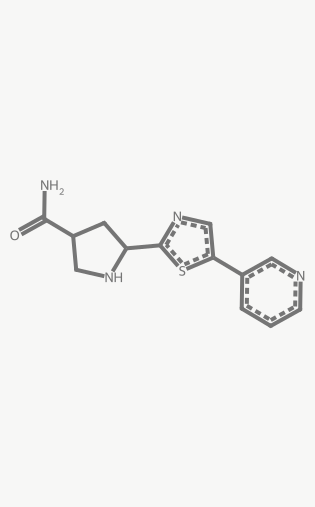 NC(=O)C1CNC(c2ncc(-c3cccnc3)s2)C1